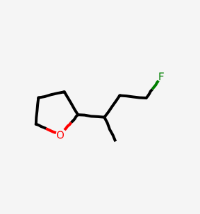 CC(CCF)C1CCCO1